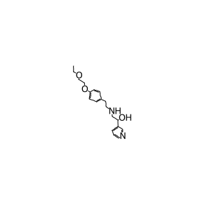 CCOCCOc1ccc(CCNCC(O)c2cccnc2)cc1